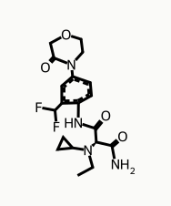 CCN(C1CC1)[C@H](C(N)=O)C(=O)Nc1ccc(N2CCOCC2=O)cc1C(F)F